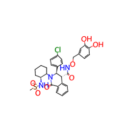 CS(=O)(=O)N[C@H]1CCCCC1N1C(=O)c2ccccc2[C@@H](C(=O)NOCc2ccc(O)c(O)c2)[C@@H]1c1ccc(Cl)cc1